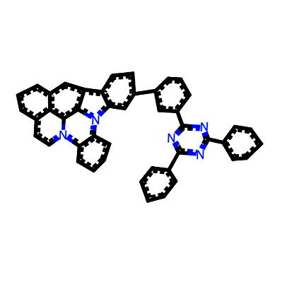 c1ccc(-c2nc(-c3ccccc3)nc(-c3cccc(-c4ccc5c6cc7cccc8ccn9c%10ccccc%10n(c5c4)c6c-9c87)c3)n2)cc1